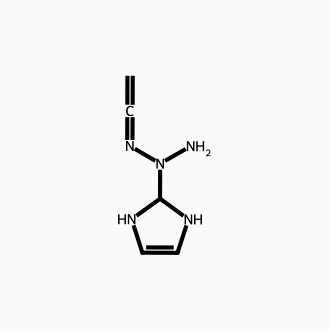 C=C=NN(N)C1NC=CN1